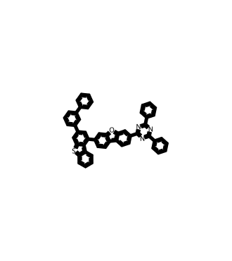 c1ccc(-c2cccc(-c3cc(-c4ccc5c(c4)oc4cc(-c6nc(-c7ccccc7)nc(-c7ccccc7)n6)ccc45)c4c(c3)sc3ccccc34)c2)cc1